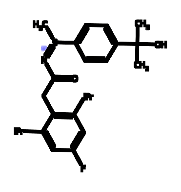 CC(C)c1cc(F)cc(C(C)C)c1CC(=O)/N=S(/C)c1ccc(C(C)(C)O)cc1